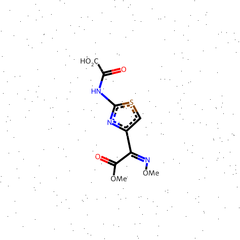 CON=C(C(=O)OC)c1csc(NC(=O)C(=O)O)n1